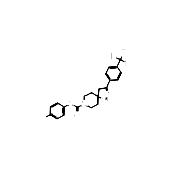 O=C(Nc1ccc(F)cc1)N1CCC2(CC1)CC(c1ccc(C(F)(F)F)cc1)=NO2